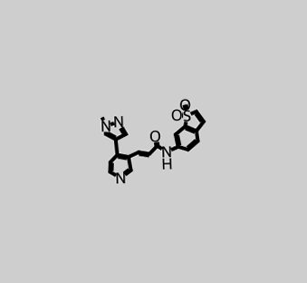 Cn1cc(-c2ccncc2/C=C/C(=O)Nc2ccc3c(c2)S(=O)(=O)C=C3)cn1